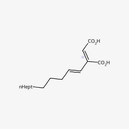 CCCCCCCCCCC=C/C(=C/C(=O)O)C(=O)O